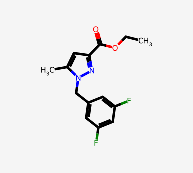 CCOC(=O)c1cc(C)n(Cc2cc(F)cc(F)c2)n1